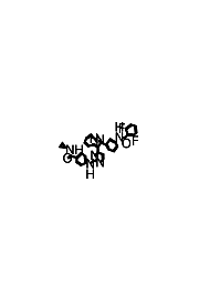 O=C(NC1CC1)c1ccc(Nc2nccc(-c3c(-c4cccc(NC(=O)c5c(F)cccc5F)c4)nn4ccccc34)n2)cc1